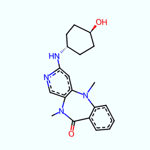 CN1C(=O)c2ccccc2N(C)c2cc(N[C@H]3CC[C@H](O)CC3)ncc21